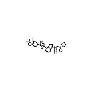 CC(C)OC1=C(I)CC(c2ncc(-c3cccc4c3CC[C@@H]4NCC(=O)N3CCCC3)s2)C=C1